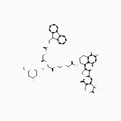 CC[C@@]1(O)C(=O)OCc2c1cc1n(c2=O)Cc2c-1nc1cc(F)c(C)c3c1c2[C@@H](NC(=O)COCNC(=O)[C@H](CO[C@@H]1O[C@H](COC(C)=O)[C@H](OC(C)=O)[C@H](OC(C)=O)[C@H]1OC(C)=O)NC(=O)[C@@H](NC(=O)OCC1c2ccccc2-c2ccccc21)C(C)C)CC3